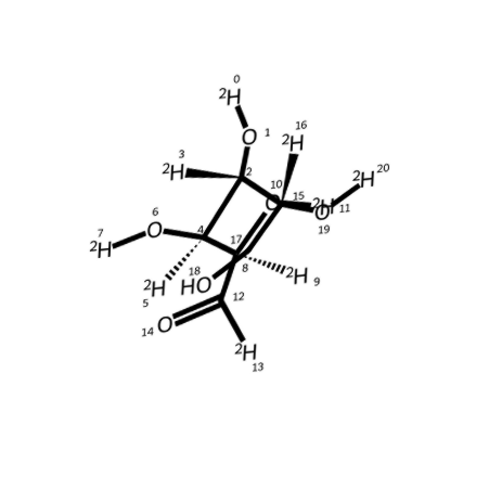 [2H]O[C@@]([2H])([C@]([2H])(O[2H])[C@@]([2H])(O[2H])C([2H])=O)[C@@]([2H])(CO)O[2H]